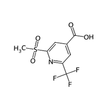 CS(=O)(=O)c1cc(C(=O)O)cc(C(F)(F)F)n1